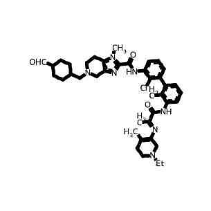 CCN1CCC(C)=C(/N=C(\C)C(=O)Nc2cccc(-c3cccc(NC(=O)c4nc5c(n4C)CCN(CC4CCC(C=O)CC4)C5)c3Cl)c2C)C1